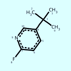 CC(C)(C)c1ccc(F)nc1